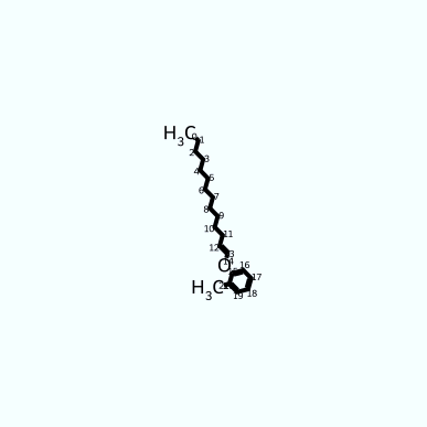 CCCCCCCCCCCCC=COc1ccccc1C